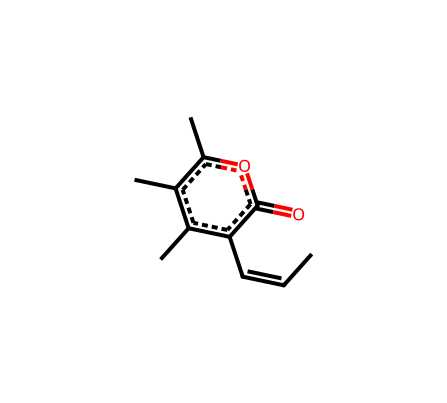 C/C=C\c1c(C)c(C)c(C)oc1=O